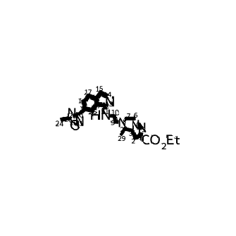 CCOC(=O)c1cc2n(n1)CCN(CCNc1nccc3ccc(-c4noc(C)n4)cc13)C2C